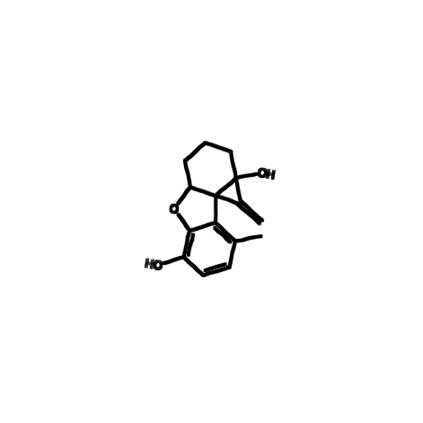 C=C1C2(O)CCCC3Oc4c(O)ccc(C)c4C132